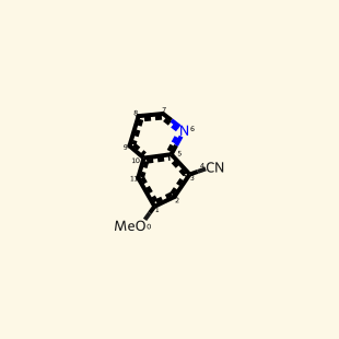 COc1cc(C#N)c2ncccc2c1